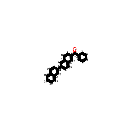 O=C(c1ccccc1)c1ccc2cc(-c3ccc4ccccc4c3)ccc2c1